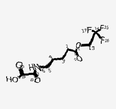 O=C(CCCCNC(=O)C(=O)O)OCC(F)(F)F